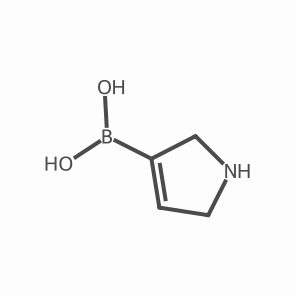 OB(O)C1=CCNC1